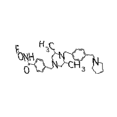 CC1CN(Cc2ccc(C(=O)NOF)cc2)CC(C)N1Cc1ccc(CN2CCCC2)cc1